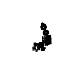 CN1CCC(C2CCN(c3cc4c(Nc5cc(Br)c(N)c(Br)c5)ncnc4cn3)CC2)CC1